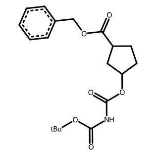 CC(C)(C)OC(=O)NC(=O)OC1CCC(C(=O)OCc2ccccc2)C1